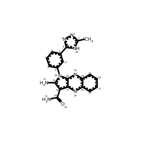 Cc1nnc(-c2cccc(-n3c(N)c(C(N)=O)c4nc5ccccc5nc43)c2)[nH]1